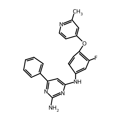 Cc1cc(Oc2ccc(Nc3cc(-c4ccccc4)nc(N)n3)cc2F)ccn1